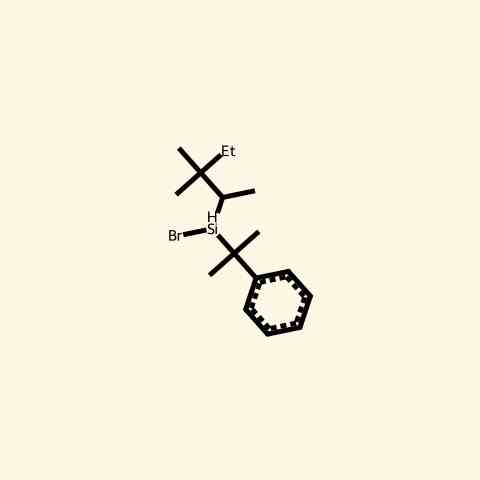 CCC(C)(C)C(C)[SiH](Br)C(C)(C)c1ccccc1